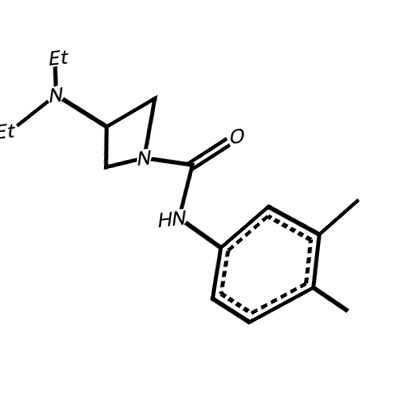 CCN(CC)C1CN(C(=O)Nc2ccc(C)c(C)c2)C1